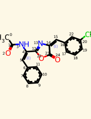 CC(=O)N/C(=C/c1ccccc1)C1=N/C(=C/c2cccc(Cl)c2)C(=O)O1